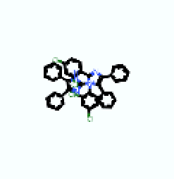 Clc1ccc(C2=NC(c3ccccc3)=C(c3ccccc3)[N+]2(c2nc(-c3ccccc3)c(-c3ccccc3)[nH]2)c2ccc(Cl)cc2Cl)c(Cl)c1